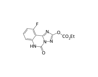 CCOC(=O)Oc1nc2c3c(F)cccc3[nH]c(=O)n2n1